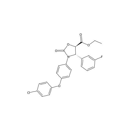 CCOC(=O)[C@@H]1OC(=O)N(c2ccc(Oc3ccc(Cl)cc3)cc2)[C@H]1c1cccc(F)c1